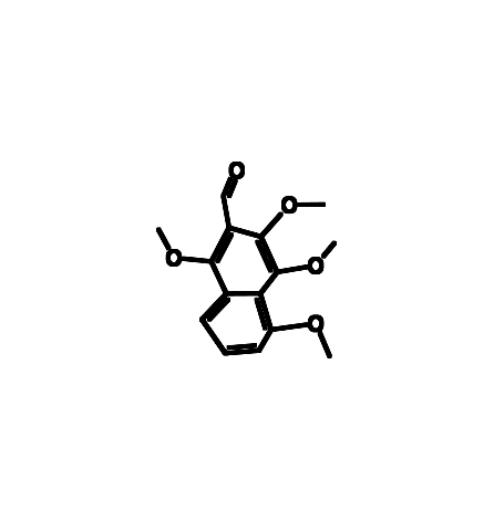 COc1c(C=O)c(OC)c2cccc(OC)c2c1OC